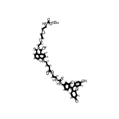 CC(C)(C)OC(=O)NCCOCCOCCN1C(=O)c2cccc3c(NCCCC(=O)OCCNC(=S)Nc4ccc(C5=C6C=CC(=O)CC6Oc6cc(O)ccc65)c(C(=O)O)c4)ccc(c23)C1=O